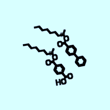 CCCCCCC[C@@H](C)OC(=O)c1ccc(-c2ccccc2)cc1.CCCCCCC[C@@H](C)OC(=O)c1ccc(C(=O)O)cc1